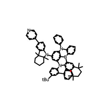 CC(C)(C)c1ccc(N2c3cc4c(cc3B3c5ccccc5N(c5ccccc5)c5cc(N6c7ccc(-c8ccncc8)cc7C7(C)CCCCC67C)cc2c53)C(C)(C)CCC4(C)C)c(-c2ccccc2)c1